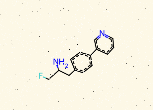 N[C@H](CF)Cc1ccc(-c2cccnc2)cc1